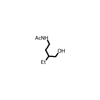 CCC(CO)CCNC(C)=O